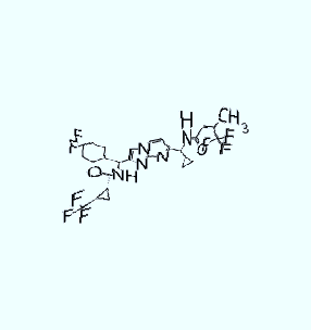 CC(CC(=O)NC(c1ccn2cc([C@@H](NC(=O)[C@@H]3C[C@H]3C(F)(F)F)C3CCC(F)(F)CC3)nc2n1)C1CC1)C(F)(F)F